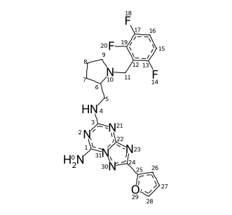 Nc1nc(NCC2CCCN2Cc2c(F)ccc(F)c2F)nc2nc(-c3ccco3)nn12